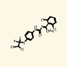 COC(=NC(=O)Nc1ccc(SC(F)(F)C(Cl)Cl)cc1)c1c(Cl)cccc1Cl